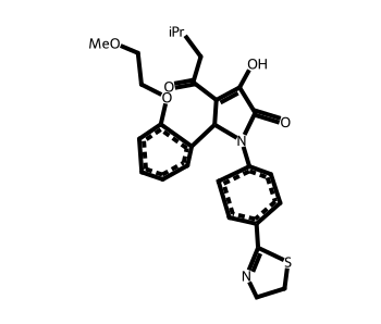 COCCOc1ccccc1C1C(C(=O)CC(C)C)=C(O)C(=O)N1c1ccc(C2=NCCS2)cc1